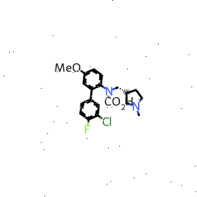 COc1ccc(N(C[C@@H]2CCN(C)C2)C(=O)O)c(-c2ccc(F)c(Cl)c2)c1